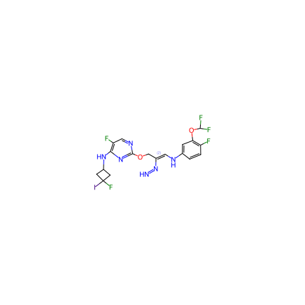 N=N/C(=C\Nc1ccc(F)c(OC(F)F)c1)COc1ncc(F)c(NC2CC(F)(I)C2)n1